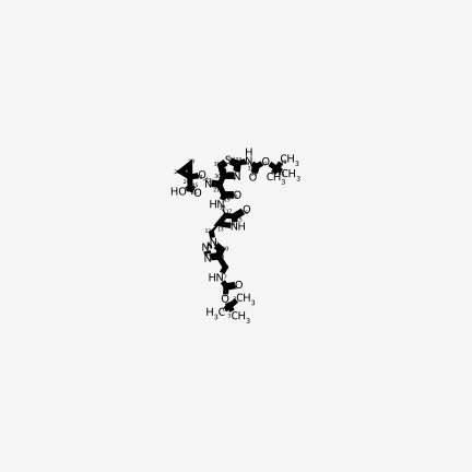 CC(C)(C)OC(=O)NCc1cn(C[C@@H]2NC(=O)[C@H]2NC(=O)C(=NOC2(C(=O)O)CC2)c2csc(NC(=O)OC(C)(C)C)n2)nn1